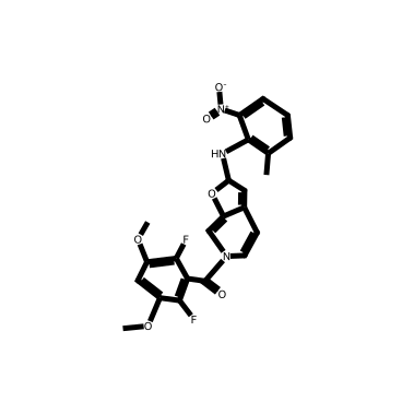 COc1cc(OC)c(F)c(C(=O)N2C=CC3=CC(Nc4c(C)cccc4[N+](=O)[O-])OC3=C2)c1F